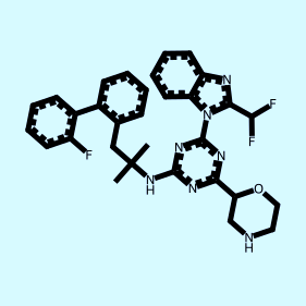 CC(C)(Cc1ccccc1-c1ccccc1F)Nc1nc(C2CNCCO2)nc(-n2c(C(F)F)nc3ccccc32)n1